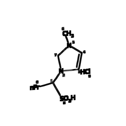 CCCC(N1C=CN(C)C1)S(=O)(=O)O.Cl